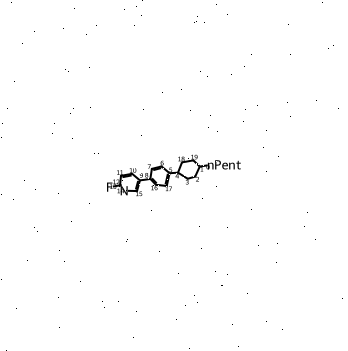 CCCCCC1CCC(c2ccc(-c3ccc(F)nc3)cc2)CC1